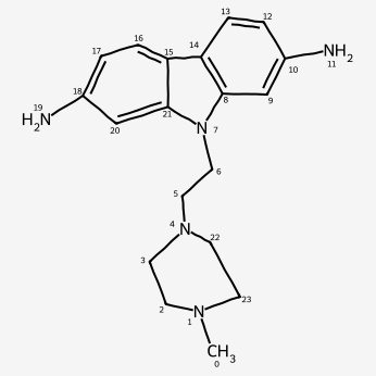 CN1CCN(CCn2c3cc(N)ccc3c3ccc(N)cc32)CC1